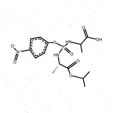 CC(C)OC(=O)[C@H](C)NP(=O)(NC(C)C(=O)O)Oc1ccc([N+](=O)[O-])cc1